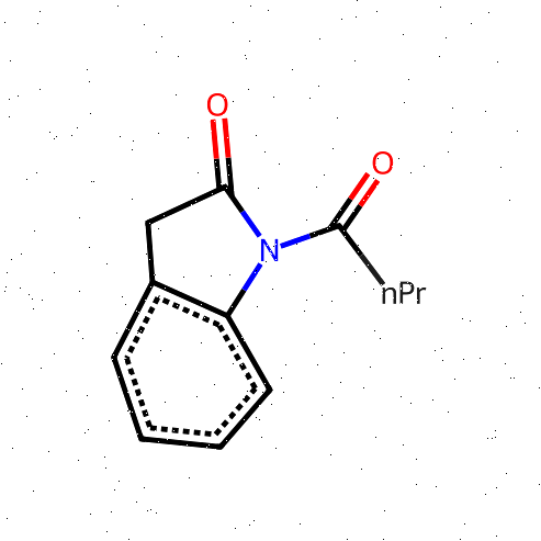 CCCC(=O)N1C(=O)Cc2ccccc21